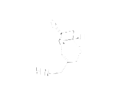 NCC1=CN2C(=O)C[C@@H]2SC1